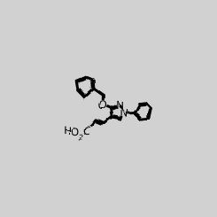 O=C(O)/C=C/c1cn(-c2ccccc2)nc1OCc1ccccc1